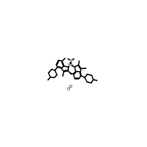 CC1=C(C)[CH]([Zr+2]([CH]2C(C)=C(C)c3c(C4CCC(C)CC4)ccc(C)c32)=[Si](C)C)c2c(C)ccc(C3CCC(C)CC3)c21.[Cl-].[Cl-]